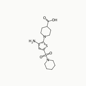 Nc1cc(S(=O)(=O)N2CCCCC2)sc1N1CCC(C(=O)O)CC1